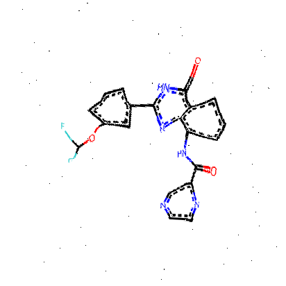 O=C(Nc1cccc2c(=O)[nH]c(-c3cccc(OC(F)F)c3)nc12)c1cnccn1